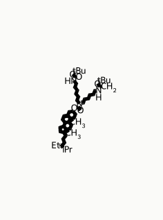 C=C(NCCCCCCN(CCCCCCNC(=O)OC(C)(C)C)C(=O)OC1CCC2(C)C(=CCC3C2CCC2(C)C(CCC[C@@H](CC)C(C)C)CCC32)C1)OC(C)(C)C